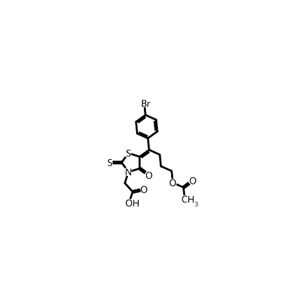 CC(=O)OCCC/C(=C1/SC(=S)N(CC(=O)O)C1=O)c1ccc(Br)cc1